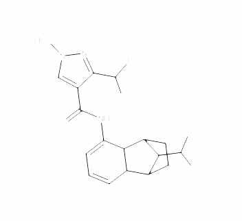 CC(C)C1C2CCC1C1C(NC(=O)c3cn(C)nc3C(F)F)=CC=CC21